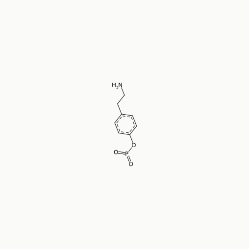 NCCc1ccc(OP(=O)=O)cc1